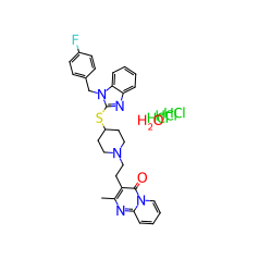 Cc1nc2ccccn2c(=O)c1CCN1CCC(Sc2nc3ccccc3n2Cc2ccc(F)cc2)CC1.Cl.Cl.Cl.O